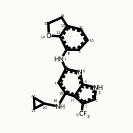 FC(F)(F)c1c[nH]c2nc(Nc3cc[c]c4c3OCC4)cc(NC3CC3)c12